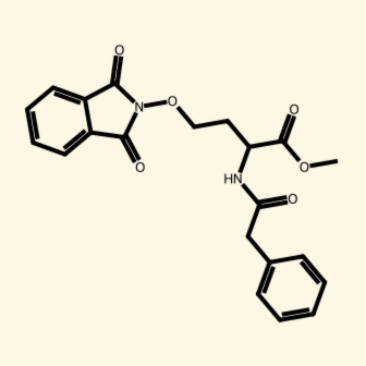 COC(=O)C(CCON1C(=O)c2ccccc2C1=O)NC(=O)Cc1ccccc1